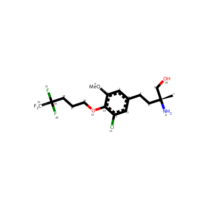 COc1cc(CC[C@@](C)(N)CO)cc(Cl)c1OCCCC(F)(F)C(F)(F)F